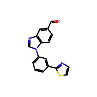 O=Cc1ccc2c(c1)ncn2-c1cccc(-c2nccs2)c1